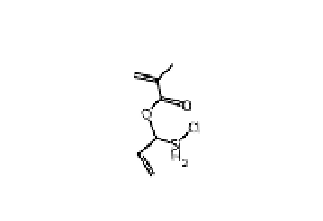 C=CC(OC(=O)C(=C)C)[SiH2]Cl